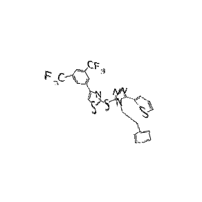 FC(F)(F)c1cc(-c2csc(Sc3nnc(-c4cccs4)n3CCc3ccccc3)n2)cc(C(F)(F)F)c1